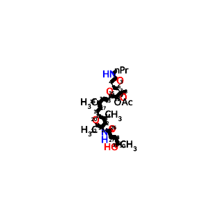 CCCNC(=O)C[C@@H]1C[C@@]2(CO2)[C@H](OC(C)=O)[C@@H](C=CC(C)=CC[C@@H]2O[C@H](C)[C@H](NC(=O)C=C[C@H](C)O)C[C@@H]2C)O1